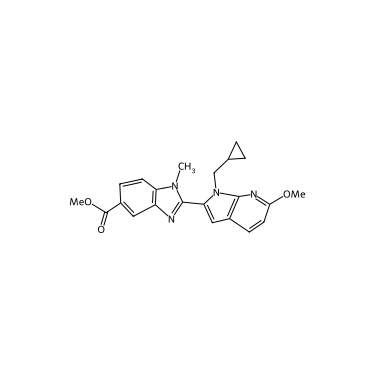 COC(=O)c1ccc2c(c1)nc(-c1cc3ccc(OC)nc3n1CC1CC1)n2C